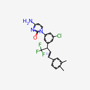 Cc1ccc(/C=C/C(c2cc(Cl)cc(-n3ccc(N)nc3=O)c2)C(F)(F)F)cc1C